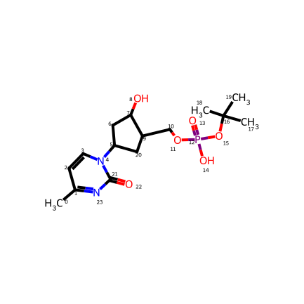 Cc1ccn(C2CC(O)C(COP(=O)(O)OC(C)(C)C)C2)c(=O)n1